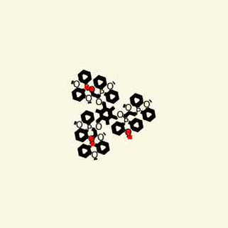 COc1ccccc1P(CCC(OCc1c(C)c(COC(CCP(c2ccccc2OC)c2ccccc2OC)P(c2ccccc2OC)c2ccccc2OC)c(C)c(COC(CCP(c2ccccc2OC)c2ccccc2OC)P(c2ccccc2OC)c2ccccc2OC)c1C)P(c1ccccc1OC)c1ccccc1OC)c1ccccc1OC